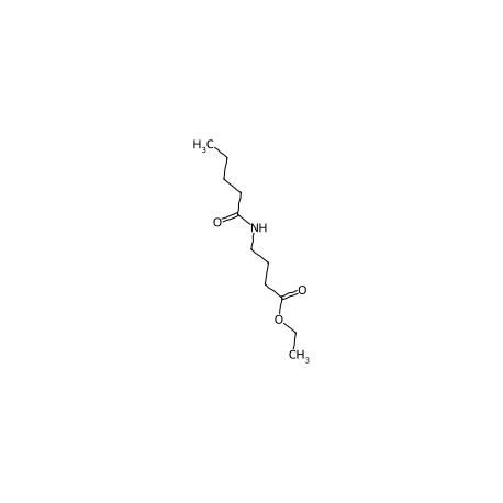 CCCCC(=O)NCCCC(=O)OCC